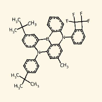 Cc1cc2c3c(c1)N(c1cccc4c1C(F)(F)C4(F)F)c1ccccc1B3c1cc(C(C)(C)C)ccc1N2c1ccc(C(C)(C)C)cc1